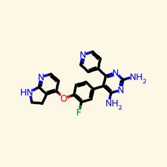 Nc1nc(N)c(-c2ccc(Oc3ccnc4c3CCN4)c(F)c2)c(-c2ccncc2)n1